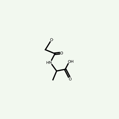 CC(NC(=O)C[O])C(=O)O